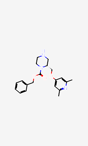 Cc1cc(OC[C@@H]2CN[C@@H](C)CN2C(=O)OCc2ccccc2)cc(C)n1